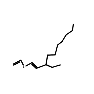 C=COC=CC(CC)CCCCCCC